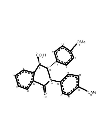 COc1ccc([C@H]2[C@H](C(=O)O)c3ccccc3C(=O)N2c2ccc(OC)cc2)cc1